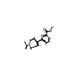 C=C(C)N1CCC(c2cccc(C(=O)OC)n2)CC1